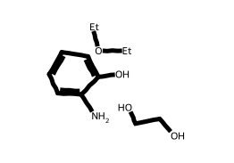 CCOCC.Nc1ccccc1O.OCCO